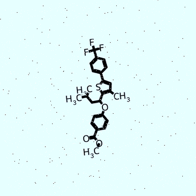 COC(=O)c1ccc(OC(CC(C)C)c2sc(-c3ccc(C(F)(F)F)cc3)cc2C)cc1